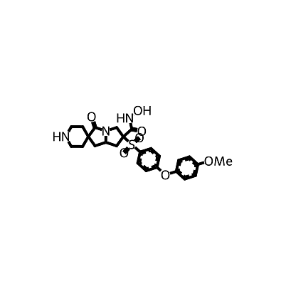 COc1ccc(Oc2ccc(S(=O)(=O)C3(C(=O)NO)CC4CC5(CCNCC5)C(=O)N4C3)cc2)cc1